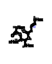 CCCCCC/C=C/CC(=O)OC(CCCCCC)C(CCCCCC)OC(=O)CCCCCCCCC